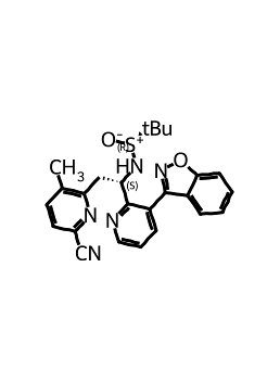 Cc1ccc(C#N)nc1C[C@H](N[S@@+]([O-])C(C)(C)C)c1ncccc1-c1noc2ccccc12